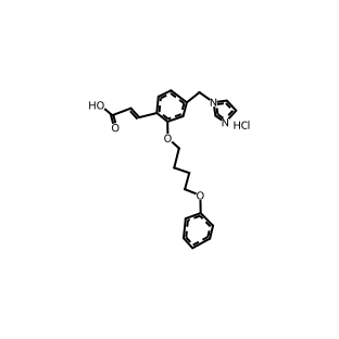 Cl.O=C(O)C=Cc1ccc(Cn2ccnc2)cc1OCCCCOc1ccccc1